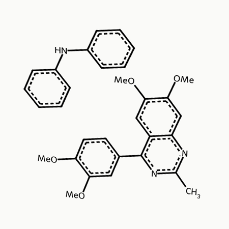 COc1ccc(-c2nc(C)nc3cc(OC)c(OC)cc23)cc1OC.c1ccc(Nc2ccccc2)cc1